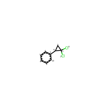 ClC1(Cl)C[C]1c1ccccc1